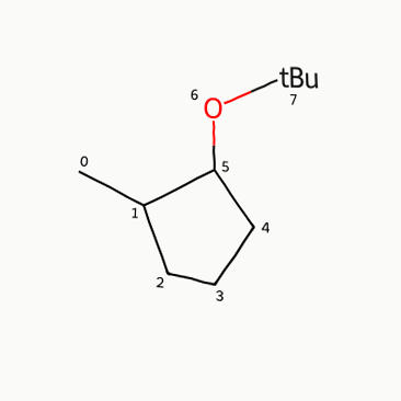 CC1CCCC1OC(C)(C)C